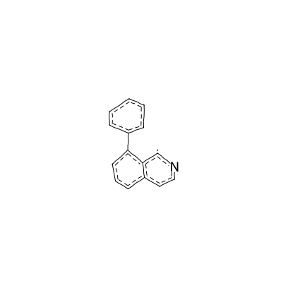 [c]1nccc2cccc(-c3ccccc3)c12